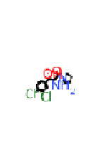 N[C@@H](C(=O)N1CCCC1)[C@@H](O)c1ccc(Cl)c(Cl)c1